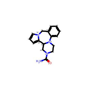 NC(=O)N1CCN2c3ccccc3Cn3cccc3C2C1